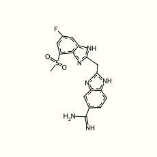 CS(=O)(=O)c1cc(F)cc2[nH]c(Cc3nc4cc(C(=N)N)ccc4[nH]3)nc12